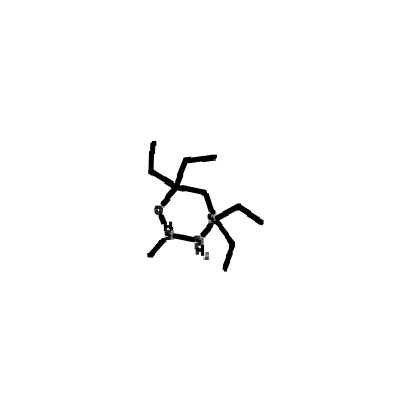 CCC1(CC)C[Si](CC)(CC)[SiH2][SiH](C)O1